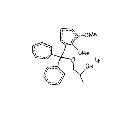 COc1cccc(C(OCC(C)O)(c2ccccc2)c2ccccc2)c1OC.[Li]